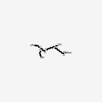 CCCC#CCCOC(CCC(=O)OCCCCCCN(CCO)CCCCCCCC(=O)OCCCCCCCCC)OCCC#CCCC